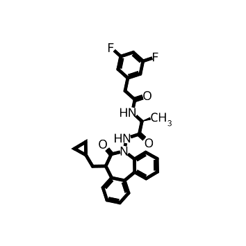 C[C@H](NC(=O)Cc1cc(F)cc(F)c1)C(=O)NN1C(=O)C(CC2CC2)c2ccccc2-c2ccccc21